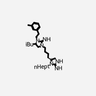 CCCCCCCN1C(=N)NC[C@@H]1CCCCN1CC(C(C)CC)N(CCc2cccc(C)c2)C1=N